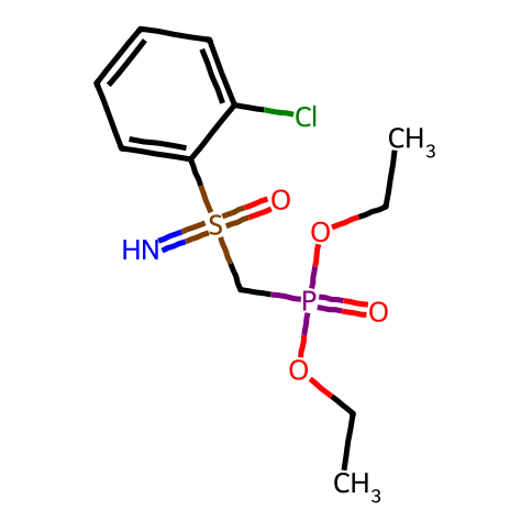 CCOP(=O)(CS(=N)(=O)c1ccccc1Cl)OCC